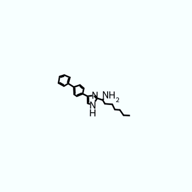 CCCCCCC(N)c1nc(-c2ccc(-c3ccccc3)cc2)c[nH]1